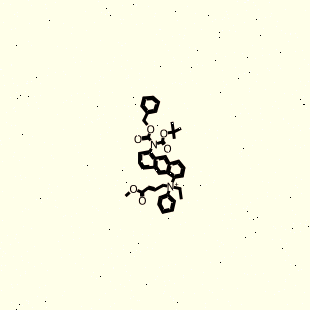 CC[N+](C/C=C/C(=O)OC)(c1ccccc1)c1cccc2cc3c(N(C(=O)OCc4ccccc4)C(=O)OC(C)(C)C)cccc3cc12